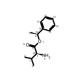 CC(C)[C@H](N)C(=O)O[C@@H](C)c1ccccc1